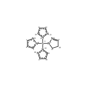 C1=NN(S(n2cccn2)(n2cccn2)n2cccn2)CC1